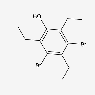 CCc1c(O)c(CC)c(Br)c(CC)c1Br